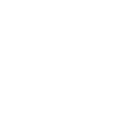 CC(C)=CC[CH]C=C(C)Cc1c(C)cc(C)cc1C